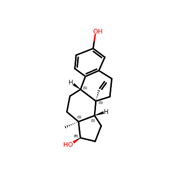 C=C[C@@]12CCc3cc(O)ccc3[C@H]1CC[C@]1(C)[C@H](O)CC[C@H]12